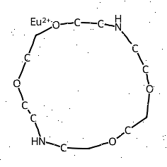 C1COCCOCCNCCOCCOCCN1.[Eu+2]